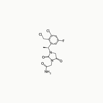 C[C@@H](c1cc(F)cc(Cl)c1CCl)N1CC(=O)N(CC(N)=O)C1=O